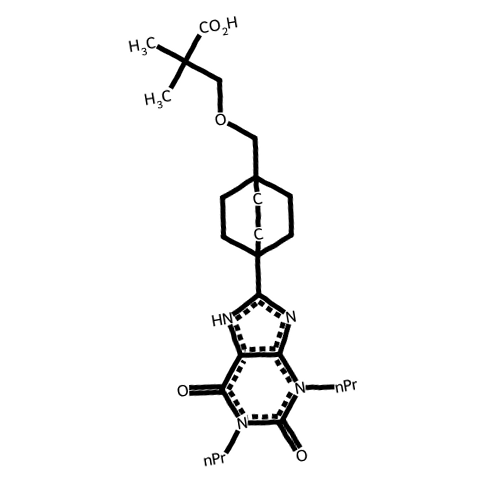 CCCn1c(=O)c2[nH]c(C34CCC(COCC(C)(C)C(=O)O)(CC3)CC4)nc2n(CCC)c1=O